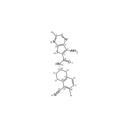 Cc1cnc2c(N)c(C(=O)N[C@H]3CCc4c(ccc(C)c4C#N)C3)sc2n1